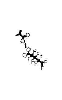 C=C(C)C(=O)OCCOC(=O)C(F)(F)C(F)(F)C(F)(F)C(F)F